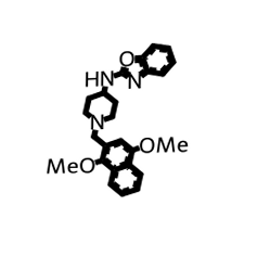 COc1cc(CN2CCC(Nc3nc4ccccc4o3)CC2)c(OC)c2ccccc12